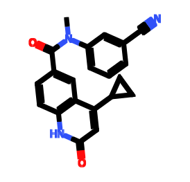 CN(C(=O)c1ccc2[nH]c(=O)cc(C3CC3)c2c1)c1cccc(C#N)c1